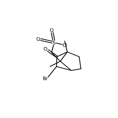 CC12CCC(C(Br)C1=O)C2(C)CS(=O)(=O)Cl